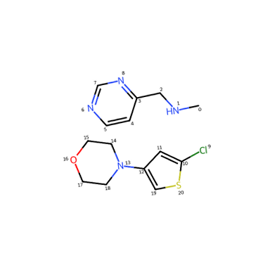 CNCc1ccncn1.Clc1cc(N2CCOCC2)cs1